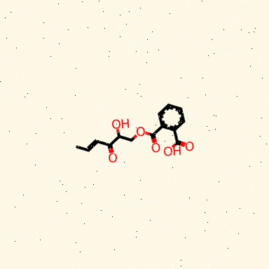 CC=CC(=O)C(O)COC(=O)c1ccccc1C(=O)O